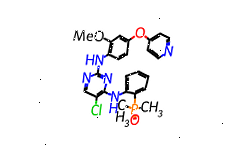 COc1cc(Oc2ccncc2)ccc1Nc1ncc(Cl)c(Nc2ccccc2P(C)(C)=O)n1